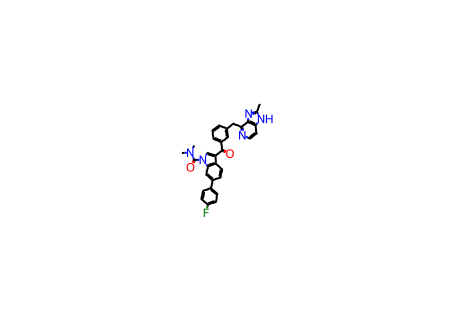 Cc1nc2c(Cc3cccc(C(=O)c4cn(C(=O)N(C)C)c5cc(-c6ccc(F)cc6)ccc45)c3)nccc2[nH]1